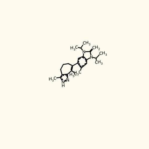 C=C1N(C(C)C)c2cc(C)c(C3=C(C)c4n[nH]c(C)c4CCC3)cc2N1C(C)C